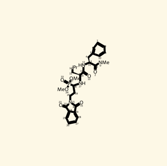 CNC(=O)[C@H](Cc1ccccc1)NC(=O)[C@H](CC(C)C)NC(CCN1C(=O)c2ccccc2C1=O)P(=O)(OC)OC